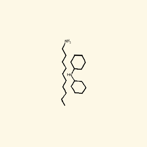 C1CCC(NC2CCCCC2)CC1.CCCCCCCCCCN